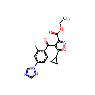 CCOC(=O)c1noc(C2CC2)c1C(=O)c1ccc(-n2cncn2)cc1I